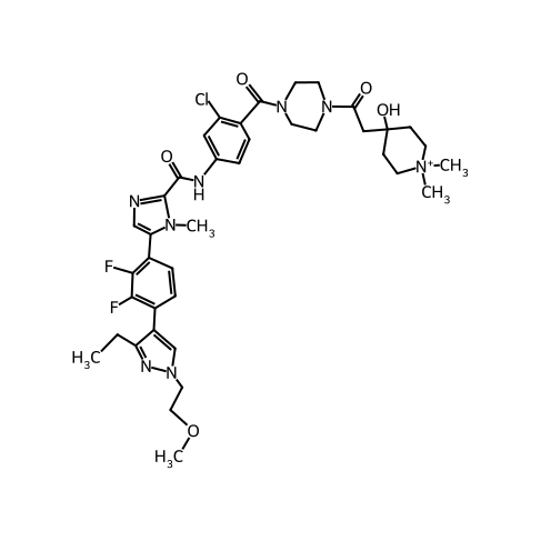 CCc1nn(CCOC)cc1-c1ccc(-c2cnc(C(=O)Nc3ccc(C(=O)N4CCN(C(=O)CC5(O)CC[N+](C)(C)CC5)CC4)c(Cl)c3)n2C)c(F)c1F